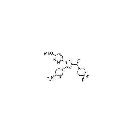 COc1ccc(-n2nc(C(=O)N3CCC(F)(F)CC3)cc2-c2ccc(N)nc2)nn1